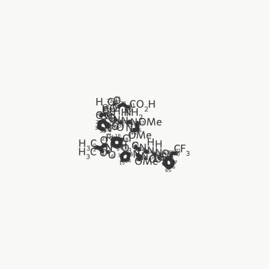 CC(C)=C1OC(=O)N(c2cc(OC3CCCC3)c(Cl)cc2F)C1=O.CCS(=O)(=O)c1cccnc1S(=O)(=O)NC(=O)Nc1nc(OC)cc(OC)n1.COc1nc(C)nc(NC(=O)NS(=O)(=O)c2ccccc2CCC(F)(F)F)n1.CP(=O)(O)CCC(N)C(=O)O